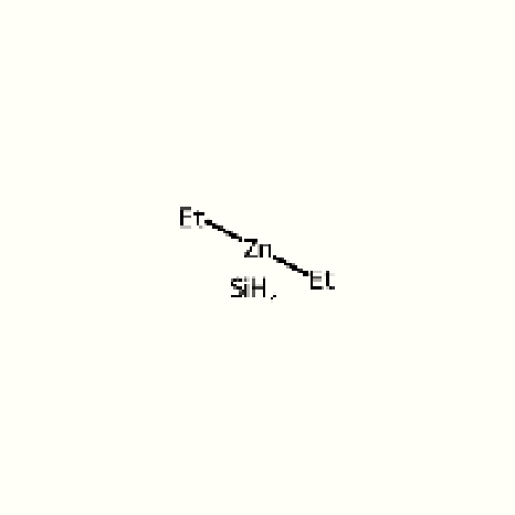 C[CH2][Zn][CH2]C.[SiH4]